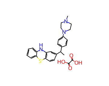 CC(c1ccc(N2CCN(C)CC2)cc1)c1ccc2c(c1)Nc1ccccc1S2.O=C(O)C(=O)O